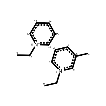 CC[n+]1cccc(C)c1.CC[n+]1ccccc1